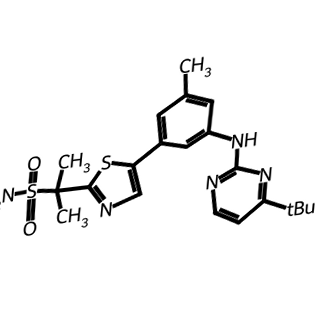 Cc1cc(Nc2nccc(C(C)(C)C)n2)cc(-c2cnc(C(C)(C)S(N)(=O)=O)s2)c1